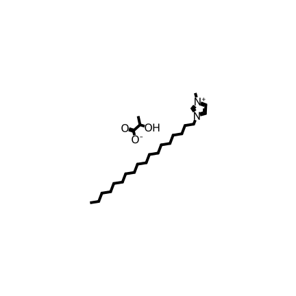 CC(O)C(=O)[O-].CCCCCCCCCCCCCCCCCCn1cc[n+](C)c1